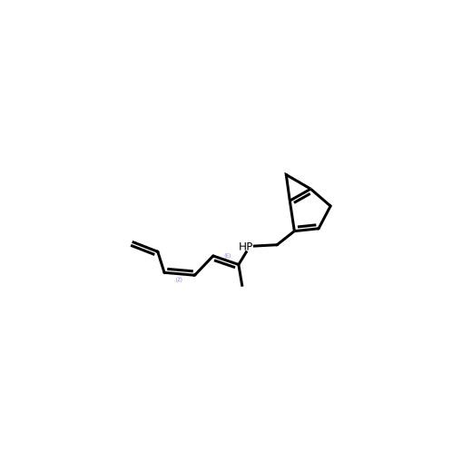 C=C/C=C\C=C(/C)PCC1=CCC2=C1C2